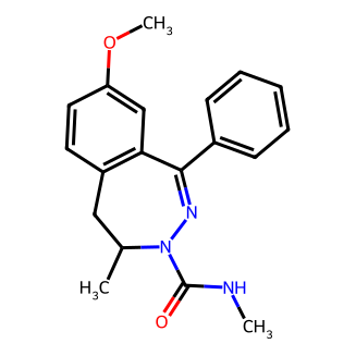 CNC(=O)N1N=C(c2ccccc2)c2cc(OC)ccc2CC1C